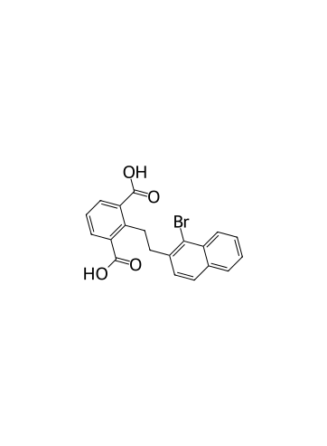 O=C(O)c1cccc(C(=O)O)c1CCc1ccc2ccccc2c1Br